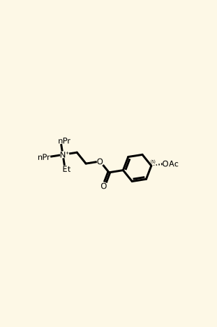 CCC[N+](CC)(CCC)CCOC(=O)C1=CC[C@H](OC(C)=O)C=C1